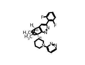 CC1(C)[C@H]2CCC1([C@H]1CCCN(c3cccnn3)C1)c1nnc(-c3c(F)cccc3F)cc12